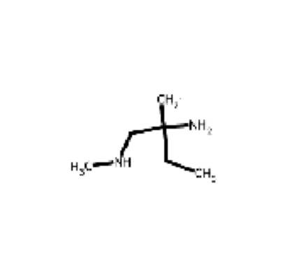 [CH2]C(N)(CC)CNC